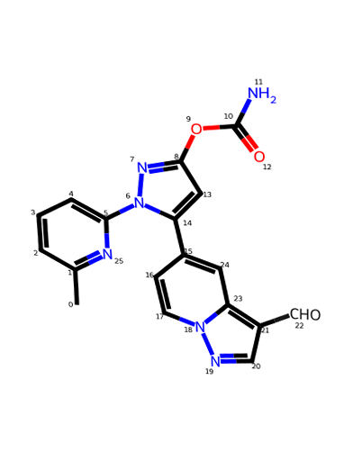 Cc1cccc(-n2nc(OC(N)=O)cc2-c2ccn3ncc(C=O)c3c2)n1